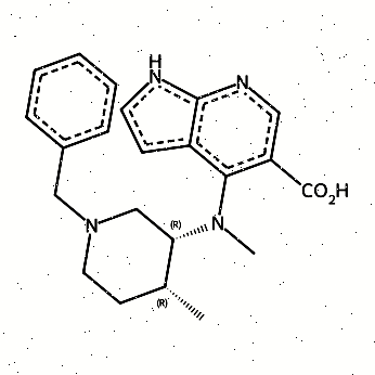 C[C@@H]1CCN(Cc2ccccc2)C[C@@H]1N(C)c1c(C(=O)O)cnc2[nH]ccc12